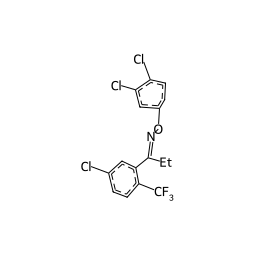 CC/C(=N\Oc1ccc(Cl)c(Cl)c1)c1cc(Cl)ccc1C(F)(F)F